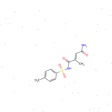 C/C(=C\C(N)=O)C(=O)NS(=O)(=O)c1ccc(C)cc1